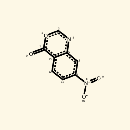 O=c1ocnc2cc([N+](=O)[O-])ccc12